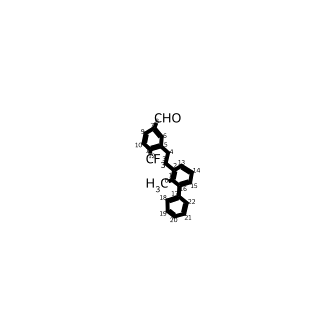 Cc1c(CCc2cc(C=O)ccc2C(F)(F)F)cccc1-c1ccccc1